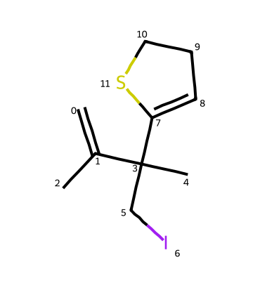 C=C(C)C(C)(CI)C1=CCCS1